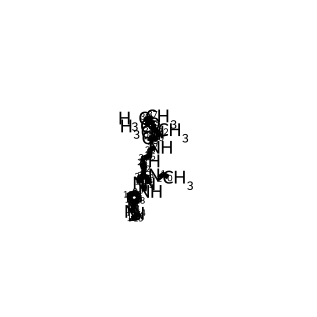 CCCNc1nc(Nc2cccc(-n3nccn3)c2)ncc1C#CCCCNC(=O)CN(C)C(=O)OC(C)(C)C